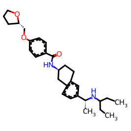 CCC(CC)N[C@H](C)c1ccc2c(c1)CC[C@H](NC(=O)c1ccc(OC[C@@H]3CCCO3)cc1)C2